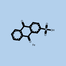 O=C1c2ccccc2C(=O)c2cc(S(=O)(=O)O)ccc21.[Fe]